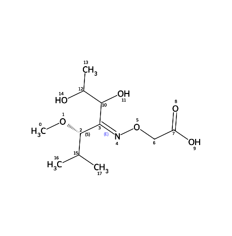 CO[C@H](/C(=N/OCC(=O)O)C(O)C(C)O)C(C)C